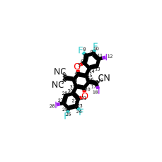 N#CC(C#N)=c1c2oc3c(F)c(F)c(I)cc3c2/c(=C(/I)C#N)c2oc3c(F)c(F)c(I)cc3c12